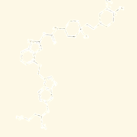 COCC(C)Oc1ccc2c(COc3cccc4[nH]c(OC(=O)NC5CCC(O)(CCN6CC[C@H](O)[C@@H](C)C6)CC5)cc34)coc2c1